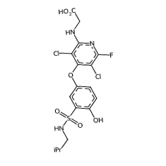 CC(C)CNS(=O)(=O)c1cc(Oc2c(Cl)c(F)nc(NCC(=O)O)c2Cl)ccc1O